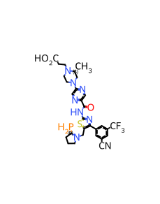 C[C@H]1CN(c2cnc(C(=O)Nc3nc(-c4cc(C#N)cc(C(F)(F)F)c4)c(CN4CCC[C@H]4P)s3)cn2)CCN1CCC(=O)O